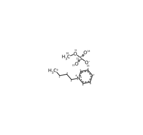 CCCC[n+]1ccccc1.COS(=O)(=O)[O-]